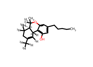 [2H]C1=C(C([2H])([2H])[2H])CC([2H])([2H])[C@]2([2H])[C@@H]1c1c(O)cc(CCCCC)cc1OC2(C)C